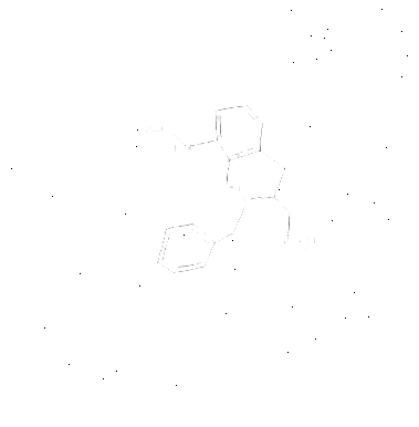 O=CNc1cccc(CC(CC(=O)O)OCc2ccccc2)c1O